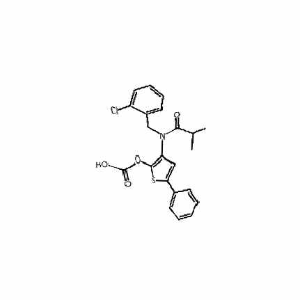 CC(C)C(=O)N(Cc1ccccc1Cl)c1cc(-c2ccccc2)sc1OC(=O)O